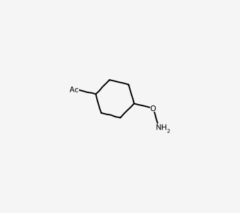 CC(=O)C1CCC(ON)CC1